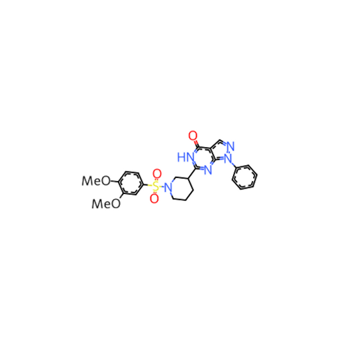 COc1ccc(S(=O)(=O)N2CCCC(c3nc4c(cnn4-c4ccccc4)c(=O)[nH]3)C2)cc1OC